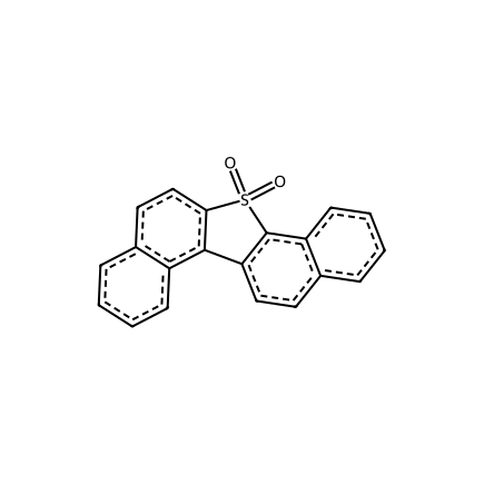 O=S1(=O)c2ccc3ccccc3c2-c2ccc3ccccc3c21